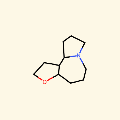 C1CC2OCCC2C2CCCN2C1